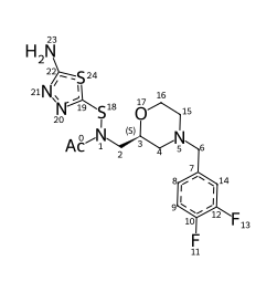 CC(=O)N(C[C@@H]1CN(Cc2ccc(F)c(F)c2)CCO1)Sc1nnc(N)s1